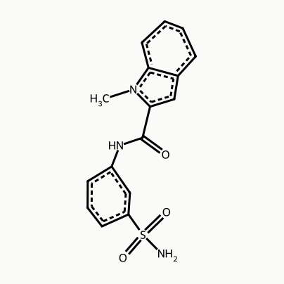 Cn1c(C(=O)Nc2cccc(S(N)(=O)=O)c2)cc2ccccc21